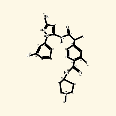 CC(C(=O)N(C)c1cc(C(C)(C)C)nn1-c1cccc(Cl)c1)c1ccc(C(=O)NC2CCN(C)CC2)c(F)c1